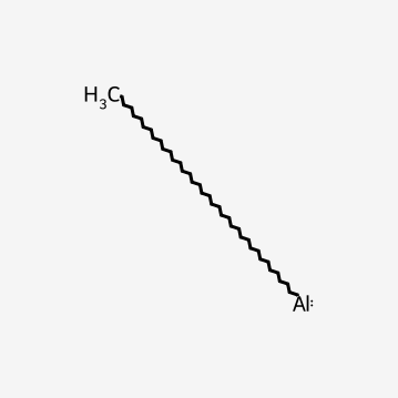 CCCCCCCCCCCCCCCCCCCCCCCCCCCCCCCCCCCCC[CH2][Al]